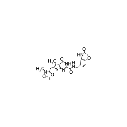 Cc1c(CC(=O)N(C)C)sc2nc(C(=O)NCc3ccc4c(c3)NC(=O)CO4)[nH]c(=O)c12